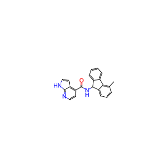 Cc1cccc2c1-c1ccccc1C2NC(=O)c1ccnc2[nH]ccc12